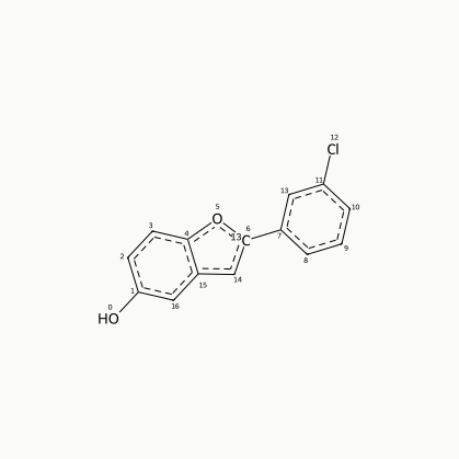 Oc1ccc2o[13c](-c3cccc(Cl)c3)cc2c1